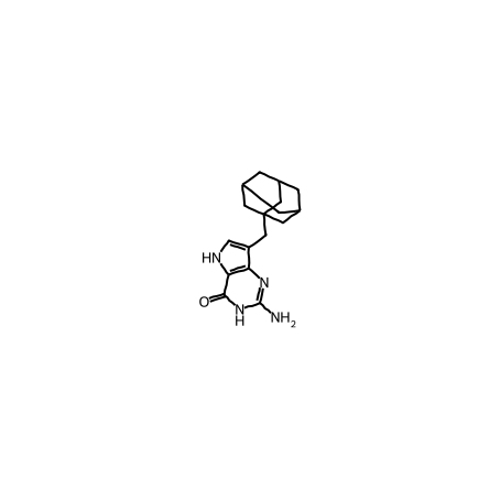 Nc1nc2c(CC34CC5CC(CC(C5)C3)C4)c[nH]c2c(=O)[nH]1